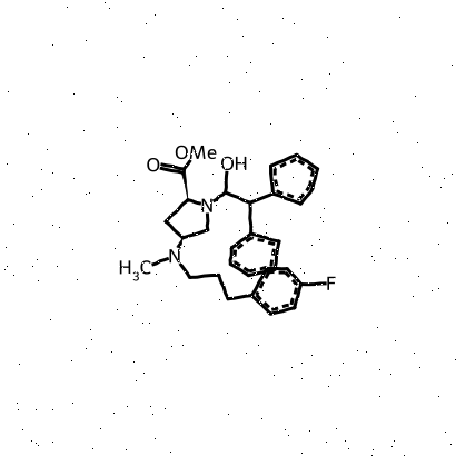 COC(=O)[C@@H]1C[C@H](N(C)CCCc2ccc(F)cc2)CN1C(O)C(c1ccccc1)c1ccccc1